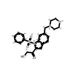 N#CCC(=O)c1cc2ccc(CN3CCOCC3)cc2n1S(=O)(=O)c1ccccc1